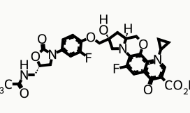 O=C(O)c1cn(C2CC2)c2c3c(c(F)cc2c1=O)N1C[C@@](O)(COc2ccc(N4C[C@H](CNC(=O)C(F)(F)F)OC4=O)cc2F)C[C@H]1CO3